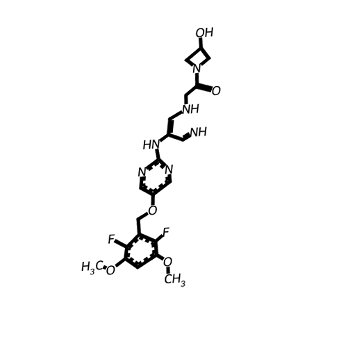 COc1cc(OC)c(F)c(COc2cnc(N/C(C=N)=C/NCC(=O)N3CC(O)C3)nc2)c1F